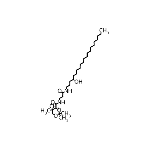 CCCCCCCCC=CCCCCCCCC(O)CCCNC(=O)CCNC(=O)C1OC(C)(C)OCC1(C)C